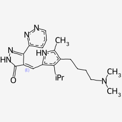 Cc1[nH]c(/C=C2/C(=O)NN=C2c2cccnn2)c(C(C)C)c1CCCCN(C)C